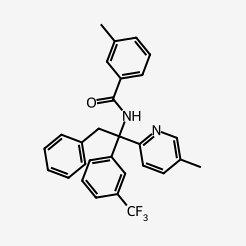 Cc1ccc(C(Cc2ccccc2)(NC(=O)c2cccc(C)c2)c2cccc(C(F)(F)F)c2)nc1